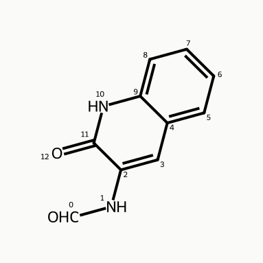 O=CNc1cc2ccccc2[nH]c1=O